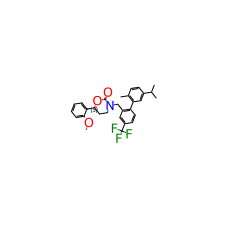 COc1ccccc1[C@@H]1CCN(Cc2cc(C(F)(F)F)ccc2-c2cc(C(C)C)ccc2C)C(=O)O1